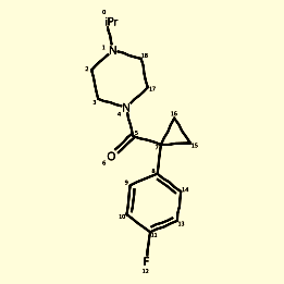 CC(C)N1CCN(C(=O)C2(c3ccc(F)cc3)CC2)CC1